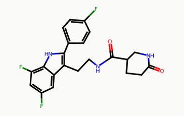 O=C1CCC(C(=O)NCCc2c(-c3ccc(F)cc3)[nH]c3c(F)cc(F)cc23)CN1